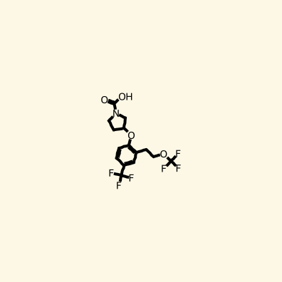 O=C(O)N1CCC(Oc2ccc(C(F)(F)F)cc2CCOC(F)(F)F)C1